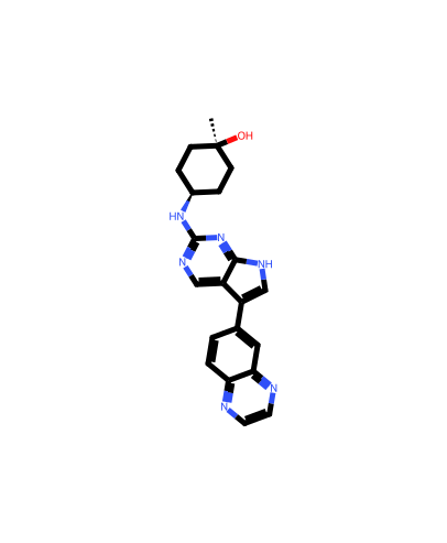 C[C@]1(O)CC[C@@H](Nc2ncc3c(-c4ccc5nccnc5c4)c[nH]c3n2)CC1